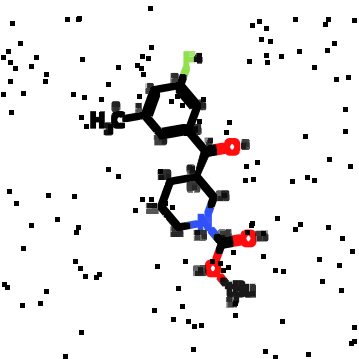 Cc1cc(F)cc(C(=O)[C@@H]2CCCN(C(=O)OC(C)(C)C)C2)c1